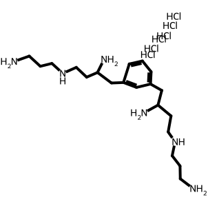 Cl.Cl.Cl.Cl.Cl.Cl.NCCCNCCC(N)Cc1cccc(CC(N)CCNCCCN)c1